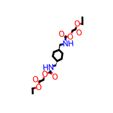 CCOC(=O)COC(=O)NC[C@H]1CC[C@H](CNC(=O)OCC(=O)OCC)CC1